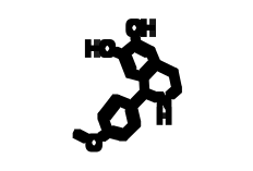 COc1ccc(C2NCCc3cc(O)c(O)cc32)cc1